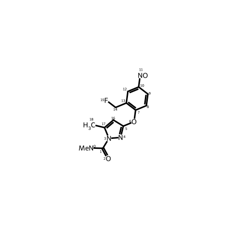 CNC(=O)n1nc(Oc2ccc(N=O)cc2CF)cc1C